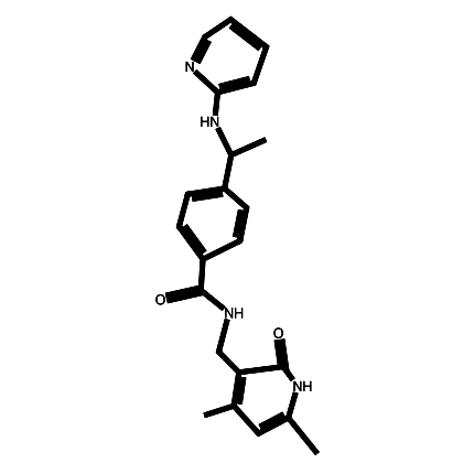 Cc1cc(C)c(CNC(=O)c2ccc(C(C)Nc3ccccn3)cc2)c(=O)[nH]1